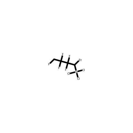 CCC(C(F)(F)C(F)(F)CF)[Si](Cl)(Cl)Cl